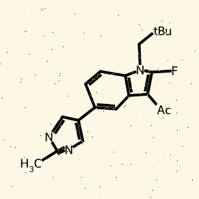 CC(=O)c1c(F)n(CC(C)(C)C)c2ccc(-c3cnc(C)nc3)cc12